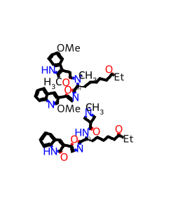 CCC(=O)CCCCC[C@@H](c1ncc(-c2cc3ccccc3nc2OC)o1)N(C)C(=O)Cc1c(C)[nH]c2ccc(OC)cc12.CCC(=O)CCCCC[C@H](NC(=O)C1CN(C)C1)c1ncc(-c2cc3ccccc3[nH]c2=O)o1